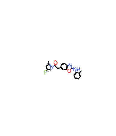 Cc1ccccc1Nc1nc2ccc(CC(=O)N3C[C@@H](F)C[C@H]3C)cc2o1